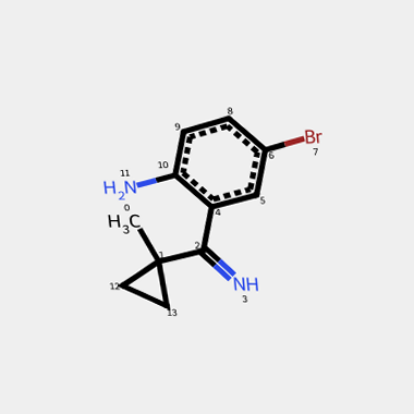 CC1(C(=N)c2cc(Br)ccc2N)CC1